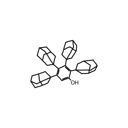 Oc1cc(C23CC4CC(CC(C4)C2)C3)c(C23CC4CC(CC(C4)C2)C3)c(C23CC4CC(CC(C4)C2)C3)c1C12CC3CC(CC(C3)C1)C2